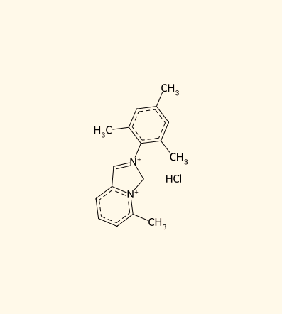 Cc1cc(C)c([N+]2=Cc3cccc(C)[n+]3C2)c(C)c1.Cl